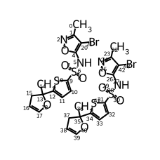 Cc1noc(NS(=O)(=O)c2ccc(C3(C)CC=CO3)s2)c1Br.Cc1noc(NS(=O)(=O)c2ccc(C3(C)CC=CO3)s2)c1Br